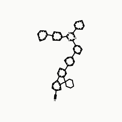 N#Cc1ccc2c(c1)C1(CCCCC1)c1cc(-c3ccc(-c4cccc(-c5nc(-c6ccccc6)nc(-c6ccc(-c7ccccc7)cc6)n5)c4)cc3)ccc1-2